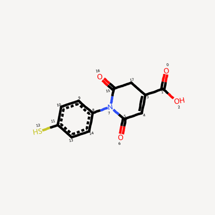 O=C(O)C1=CC(=O)N(c2ccc(S)cc2)C(=O)C1